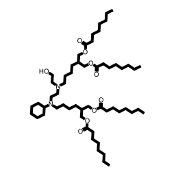 CCCCCCCC(=O)OCC(CCCCN(CCO)CCN(CCCCC(COC(=O)CCCCCCC)COC(=O)CCCCCCC)C1CCCCC1)COC(=O)CCCCCCC